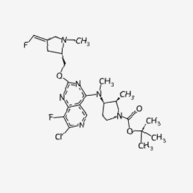 C[C@@H]1[C@H](N(C)c2nc(OC[C@H]3C/C(=C\F)CN3C)nc3c(F)c(Cl)ncc23)CCN1C(=O)OC(C)(C)C